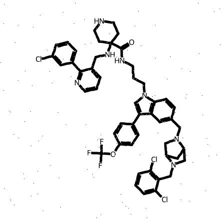 O=C(NCCCn1cc(-c2ccc(OC(F)(F)F)cc2)c2cc(CN3CC4CC3CN4Cc3c(Cl)cccc3Cl)ccc21)C1(NCc2cccnc2-c2cccc(Cl)c2)CCNCC1